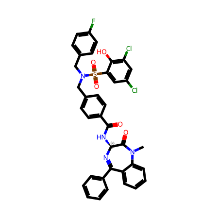 CN1C(=O)[C@H](NC(=O)c2ccc(CN(Cc3ccc(F)cc3)S(=O)(=O)c3cc(Cl)cc(Cl)c3O)cc2)N=C(c2ccccc2)c2ccccc21